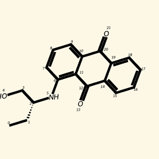 CC[C@H](CO)Nc1cccc2c1C(=O)c1ccccc1C2=O